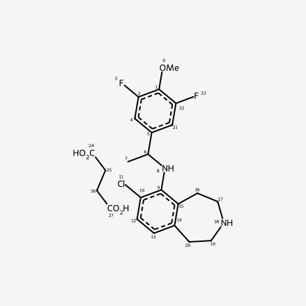 COc1c(F)cc(C(C)Nc2c(Cl)ccc3c2CCNCC3)cc1F.O=C(O)CCC(=O)O